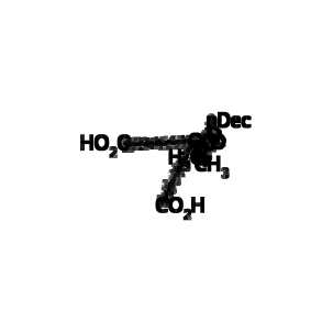 CCCCCCCCCCCCC(CCC(=O)OC(CCCCCCCCCCCCCCC(=O)O)CCCCCCCCCCCCCCC(=O)O)OC(=O)OCCCN(C)C